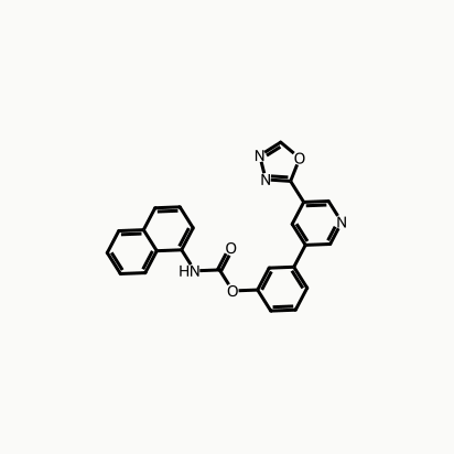 O=C(Nc1cccc2ccccc12)Oc1cccc(-c2cncc(-c3nnco3)c2)c1